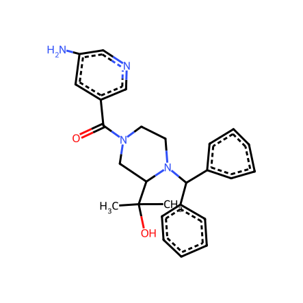 CC(C)(O)C1CN(C(=O)c2cncc(N)c2)CCN1C(c1ccccc1)c1ccccc1